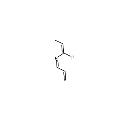 C=C/C=N\C(Cl)=C/C